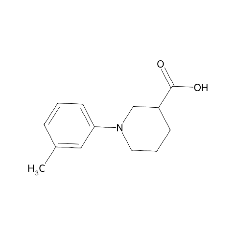 Cc1cccc(N2CCCC(C(=O)O)C2)c1